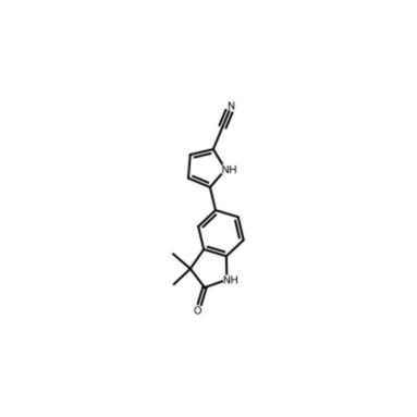 CC1(C)C(=O)Nc2ccc(-c3ccc(C#N)[nH]3)cc21